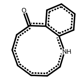 O=c1cccccc[nH]c2ccccc12